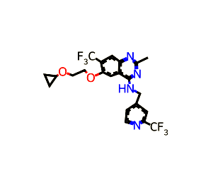 Cc1nc(NCc2ccnc(C(F)(F)F)c2)c2cc(OCCOC3CC3)c(C(F)(F)F)cc2n1